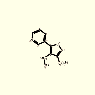 [NH]Nc1c(C(=O)O)noc1-c1cccnc1